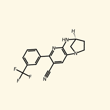 N#Cc1cc2c(nc1-c1cccc(C(F)(F)F)c1)N[C@H]1CCN2C1